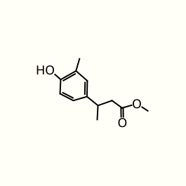 COC(=O)CC(C)c1ccc(O)c(C)c1